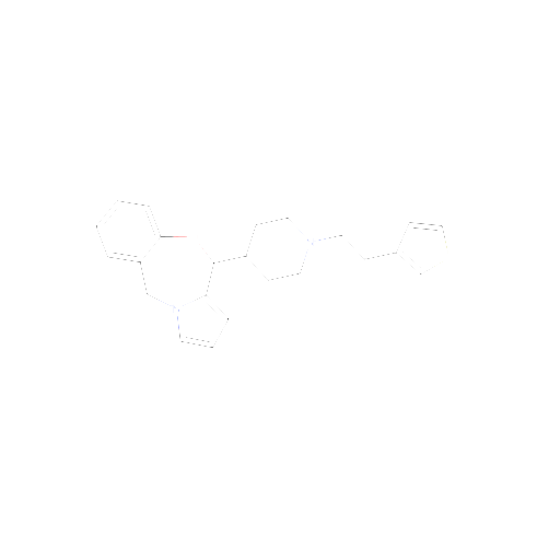 c1ccc2c(c1)Cn1cccc1C(C1CCN(CCc3ccsc3)CC1)O2